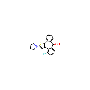 OC1c2ccccc2-c2sc(N3CCCC3)cc2-c2c(F)cccc21